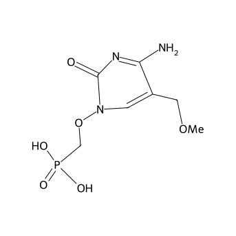 COCc1cn(OCP(=O)(O)O)c(=O)nc1N